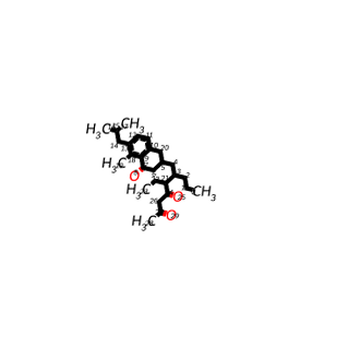 CCCC(CC1CC(=O)c2c(ccc(CC(C)C)c2C)C1)C(CC)C(=O)CC(C)=O